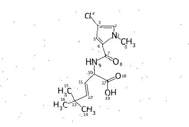 Cn1cc(Cl)cc1C(=O)NC(/C=C/C(C)(C)C)C(=O)O